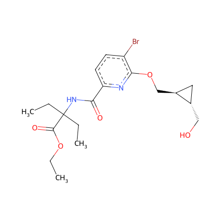 CCOC(=O)C(CC)(CC)NC(=O)c1ccc(Br)c(OC[C@H]2C[C@@H]2CO)n1